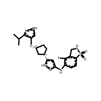 CC(C)c1n[nH]cc1O[C@@H]1CC[C@H](c2cc(Nc3ccc4c(c3F)CNS4(=O)=O)n[nH]2)C1